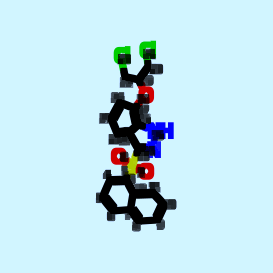 O=S(=O)(c1cccc2ccccc12)c1n[nH]c2c(OC(CCl)CCl)cccc12